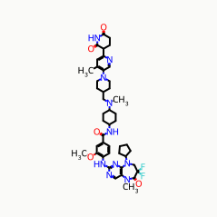 COc1cc(C(=O)NC2CCC(N(C)CC3CCN(c4cnc(C5CCC(=O)NC5=O)cc4C)CC3)CC2)ccc1Nc1ncc2c(n1)N(C1CCCC1)CC(F)(F)C(=O)N2C